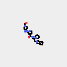 O=CN1CCC(Nc2cc(C(=O)NCC(CN3Cc4ccccc4C3)N3CCCCC3)ccn2)CC1